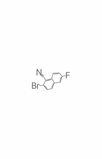 N#Cc1c(Br)ccc2cc(F)ccc12